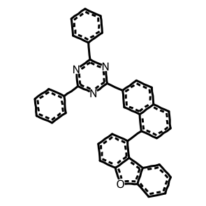 c1ccc(-c2nc(-c3ccccc3)nc(-c3ccc4cccc(-c5cccc6oc7ccccc7c56)c4c3)n2)cc1